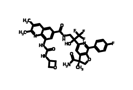 Cc1cc2cc(C(=O)NCC(O)(c3cc4c(c(-c5ccc(F)cc5)n3)OC[C@]4(C)C(N)=O)C(F)(F)F)cc(NC(=O)NC3COC3)c2nc1C